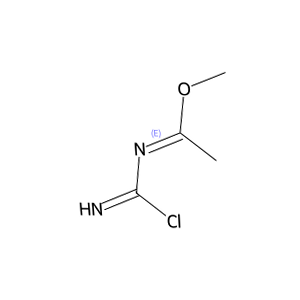 CO/C(C)=N/C(=N)Cl